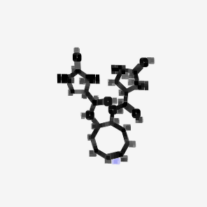 O=C1NCC(C(=O)OC2CC/C=C\CCC2OC(=O)C2CNC(=O)N2)N1